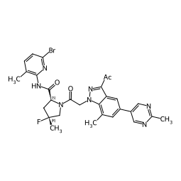 CC(=O)c1nn(CC(=O)N2C[C@](C)(F)C[C@H]2C(=O)Nc2nc(Br)ccc2C)c2c(C)cc(-c3cnc(C)nc3)cc12